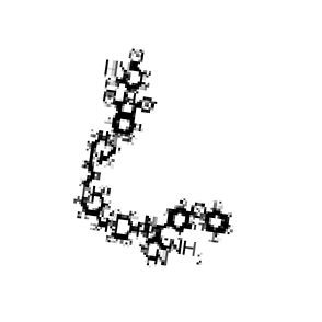 Nc1ncnc2c1c(-c1ccc(Oc3ccccc3)cc1)nn2C1CCN(CC2CCN(CCCN3CCN(c4ccc5c(c4)C(=O)N(C4CCC(=O)NC4=O)C5=O)CC3)CC2)CC1